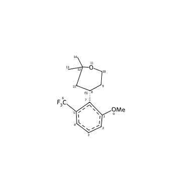 COc1cccc(C(F)(F)F)c1[C@H]1CCOC(C)(C)C1